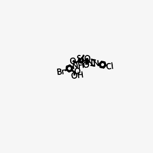 Cc1sc(C(=O)Nc2ccc(Br)cc2C(=O)O)cc1S(=O)(=O)N1CCN(c2ccc(Cl)cc2)CC1